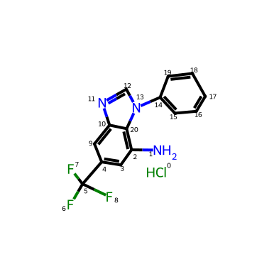 Cl.Nc1cc(C(F)(F)F)cc2ncn(-c3ccccc3)c12